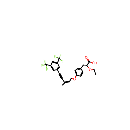 CCO[C@@H](Cc1ccc(OC/C=C(/C)C#Cc2cc(C(F)(F)F)cc(C(F)(F)F)c2)cc1)C(=O)O